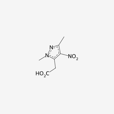 Cc1nn(C)c(CC(=O)O)c1[N+](=O)[O-]